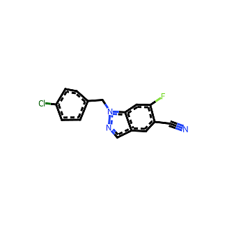 N#Cc1cc2cnn(Cc3ccc(Cl)cc3)c2cc1F